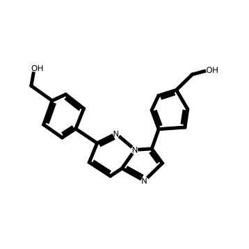 OCc1ccc(-c2ccc3ncc(-c4ccc(CO)cc4)n3n2)cc1